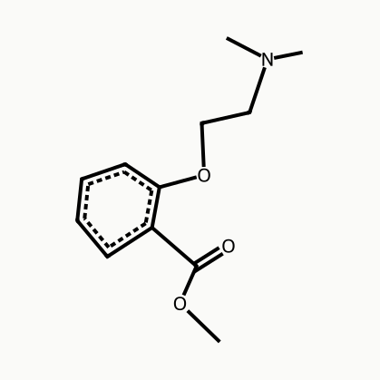 COC(=O)c1ccccc1OCCN(C)C